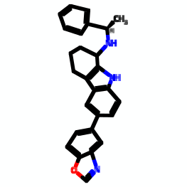 C[C@@H](NC1CCCc2c1[nH]c1ccc(-c3ccc4ocnc4c3)cc21)c1ccccc1